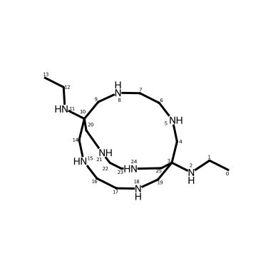 CCNC12CNCCNCC(NCC)(CNCCNC1)CNCCNC2